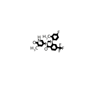 Cc1cc(F)ccc1N1CN(c2c[nH]c(=O)c(C)c2)C(=O)c2ccc(C(F)(F)F)cc21